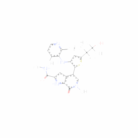 Cc1ccnc(C)c1Nc1cc(C(C)(C)C(C)(C)O)sc1-c1cn(C)c(=O)c2[nH]c(C(=O)NC(C)C)cc12